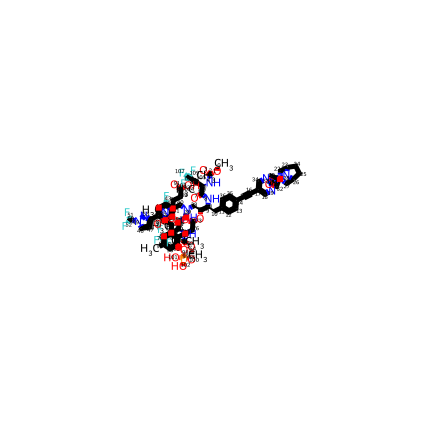 COC(=O)N[C@H](C(=O)N[C@@H](Cc1ccc(C#Cc2cnc(N3CC4CCC(C3)N4C3COC3)nc2)cc1)[C@H](CN(Cc1c(F)cc(-c2ccn(C(F)F)n2)cc1F)NC(=O)[C@@H](NC(=O)OC)C(C)(C)C(F)(F)F)OC(=O)CC(C)(C)c1c(CC(=O)N(C)CCCC(=O)O)cc(C)cc1OP(=O)(O)O)C(C)(C)C(F)(F)F